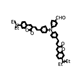 CCN(CC)c1ccc2cc(/C=C/c3ccc(N(c4ccc(C=O)cc4)c4ccc(/C=C/c5cc6ccc(N(CC)CC)cc6oc5=O)cc4)cc3)c(=O)oc2c1